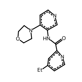 CCc1ccnc(C(=O)Nc2cnccc2N2CCOCC2)c1